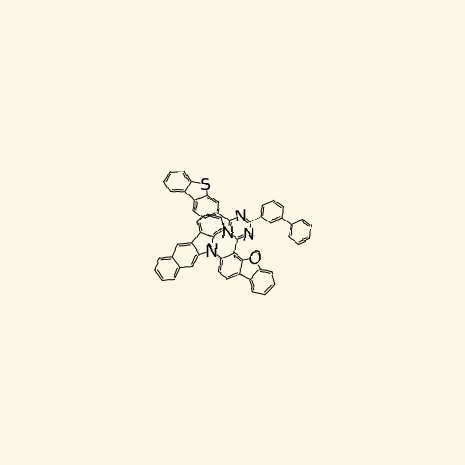 c1ccc(-c2cccc(-c3nc(-c4ccc5c(c4)sc4ccccc45)nc(-c4c(-n5c6ccccc6c6cc7ccccc7cc65)ccc5c4oc4ccccc45)n3)c2)cc1